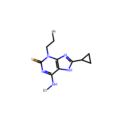 CCNc1nc(=S)n(CCC(C)C)c2nc(C3CC3)[nH]c12